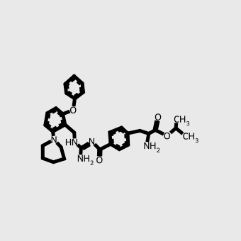 CC(C)OC(=O)C(N)Cc1ccc(C(=O)/N=C(\N)NCc2c(Oc3ccccc3)cccc2N2CCCCC2)cc1